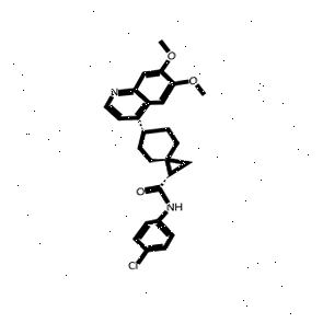 COc1cc2nccc([C@H]3CC[C@@]4(CC3)C[C@@H]4C(=O)Nc3ccc(Cl)cc3)c2cc1OC